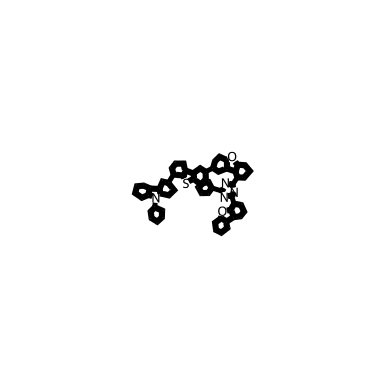 c1ccc(-c2nc(-c3cccc4c3oc3ccccc34)nc(-c3cccc4oc5ccc(-c6ccc7sc8c(-c9ccc%10c(c9)c9ccccc9n%10-c9ccccc9)cccc8c7c6)cc5c34)n2)cc1